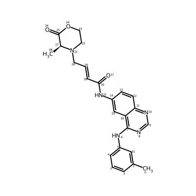 Cc1cccc(Nc2ncnc3ccc(NC(=O)C=CCN4CCOC(=O)[C@@H]4C)cc23)c1